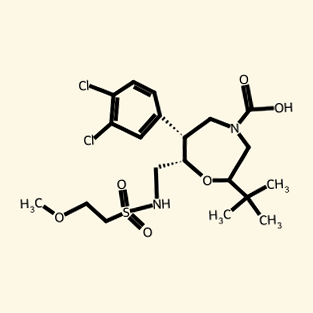 COCCS(=O)(=O)NC[C@H]1OC(C(C)(C)C)CN(C(=O)O)C[C@H]1c1ccc(Cl)c(Cl)c1